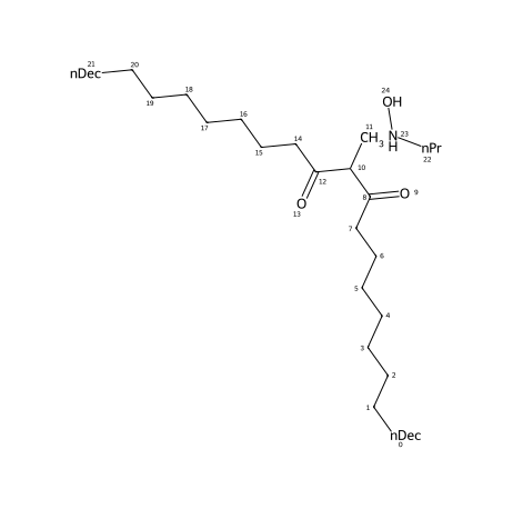 CCCCCCCCCCCCCCCCCC(=O)C(C)C(=O)CCCCCCCCCCCCCCCCC.CCCNO